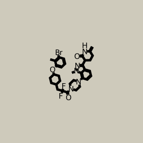 C=C1CCC(c2nn(C)c3c(N4CCN(C(=O)C(F)(F)CC5CCC(Oc6cccc(Br)c6C)CC5)CC4)cccc23)C(=O)N1